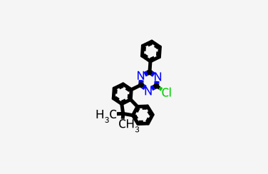 CC1(C)c2ccccc2-c2c(-c3nc(Cl)nc(-c4ccccc4)n3)cccc21